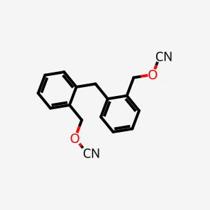 N#COCc1ccccc1Cc1ccccc1COC#N